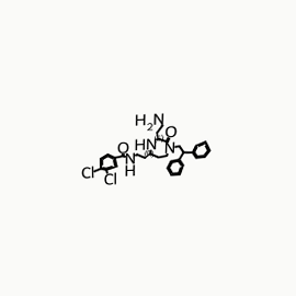 NCC[C@@H]1N[C@H](CCNC(=O)c2ccc(Cl)c(Cl)c2)CCN(CC(c2ccccc2)c2ccccc2)C1=O